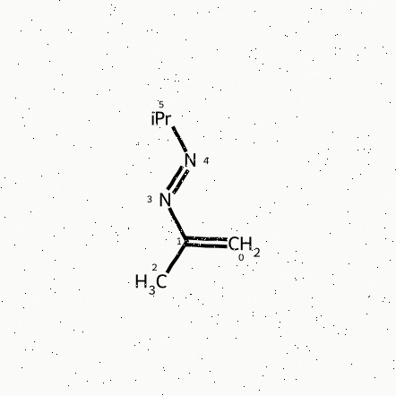 C=C(C)/N=N/C(C)C